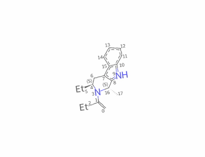 C=C(CC)N1[C@@H](CC)Cc2c([nH]c3ccccc23)[C@@H]1C